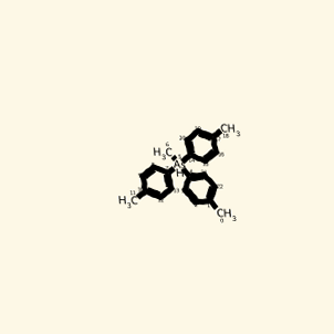 Cc1ccc([AsH](C)(c2ccc(C)cc2)c2ccc(C)cc2)cc1